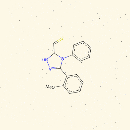 COc1ccccc1C1=NNC(C=S)N1c1ccccc1